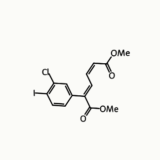 COC(=O)/C=C\C=C(\C(=O)OC)c1ccc(I)c(Cl)c1